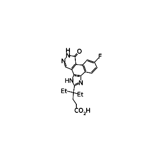 CCC(CC)(CCC(=O)O)c1nc2c3ccc(F)cc3c3c(=O)[nH]ncc3c2[nH]1